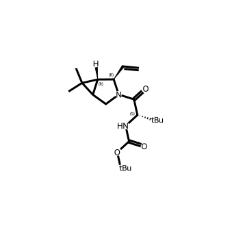 C=C[C@@H]1[C@@H]2C(CN1C(=O)[C@@H](NC(=O)OC(C)(C)C)C(C)(C)C)C2(C)C